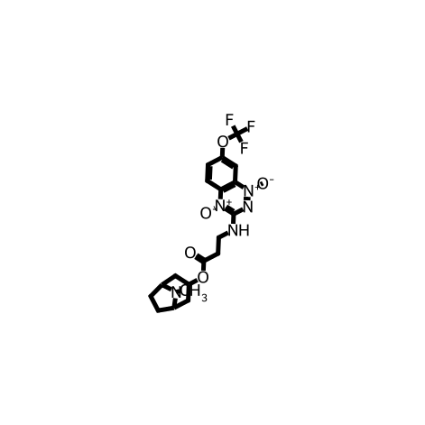 CN1C2CCC1CC(OC(=O)CCNc1n[n+]([O-])c3cc(OC(F)(F)F)ccc3[n+]1[O-])C2